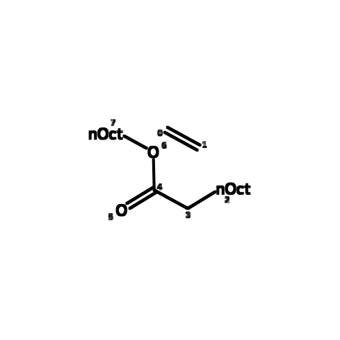 C=C.CCCCCCCCCC(=O)OCCCCCCCC